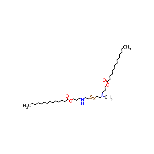 CCCCCCCCCCCCCC(=O)OCCCNCCSSCCN(C)CCCOC(=O)CCCCCCCCCCCCC